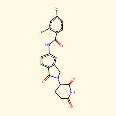 O=C1CCC(N2Cc3cc(NC(=O)c4ccc(Cl)cc4F)ccc3C2=O)C(=O)N1